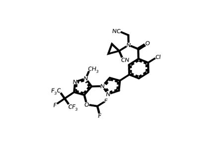 Cn1nc(C(F)(C(F)(F)F)C(F)(F)F)c(OC(F)F)c1-n1cc(-c2ccc(Cl)c(C(=O)N(CC#N)C3(C#N)CC3)c2)cn1